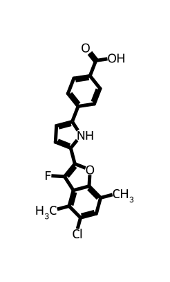 Cc1cc(Cl)c(C)c2c(F)c(-c3ccc(-c4ccc(C(=O)O)cc4)[nH]3)oc12